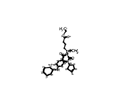 CCOC(=O)CCCN(C)n1c(=O)c2cc(F)c(NC3CCCCC3)cc2n(C2CCCC2)c1=O